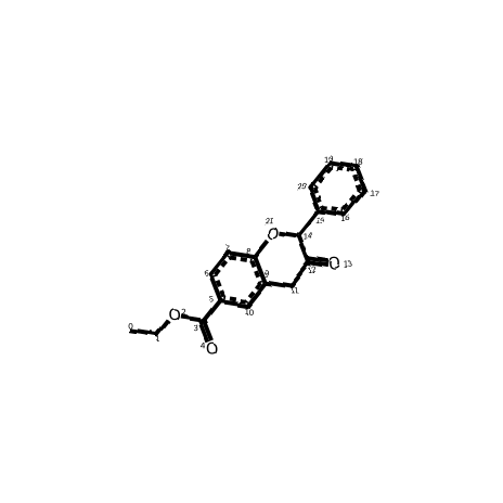 CCOC(=O)c1ccc2c(c1)CC(=O)C(c1ccccc1)O2